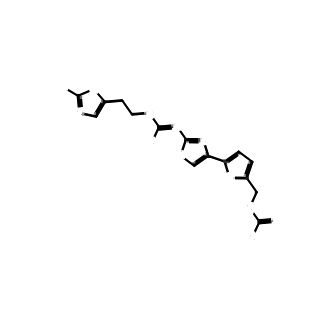 Cc1ncc(CCN/C(N)=N/c2nc(-c3ccc(CNC(N)=O)o3)cs2)s1